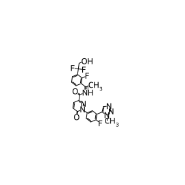 C[C@@H](NC(=O)c1ccc(=O)n(-c2ccc(F)c(-c3cnnn3C)c2)n1)c1cccc(C(F)(F)CO)c1F